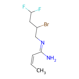 C/C=C\C(N)=N/CC(Br)CC(F)F